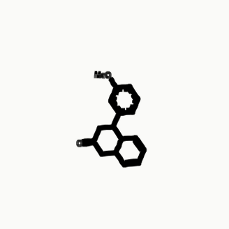 COc1cccc(C2CC(=O)CC3C=CC=CC32)c1